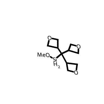 CO[SiH2]C(C1COC1)(C1COC1)C1COC1